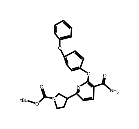 CC(C)(C)OC(=O)N1CCC(c2ccc(C(N)=O)c(Oc3ccc(Oc4ccccc4)cc3)n2)C1